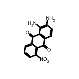 Nc1ccc2c(c1N)C(=O)c1cccc([N+](=O)[O-])c1C2=O